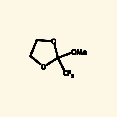 COC1(C(F)(F)F)OCCO1